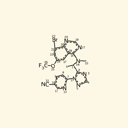 CC(c1ncnn1-c1ccc(C#N)cn1)N(C)c1ncnc2c(Br)cc(OC(F)(F)F)cc12